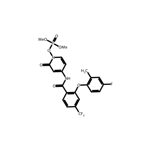 COP(=O)(OC)On1ccc(NC(=O)c2ccc(C(F)(F)F)cc2Oc2ccc(F)cc2C)cc1=O